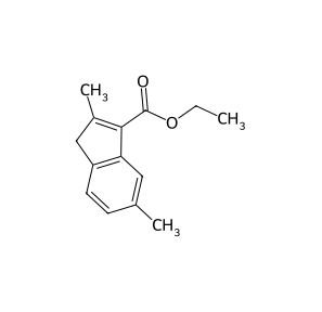 CCOC(=O)C1=C(C)Cc2ccc(C)cc21